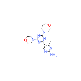 Cc1nc(N)ncc1-c1nc(N2CCCOCC2)nc(N2CCOCC2)n1